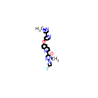 Cn1cc(-c2cc(Oc3ccc4nc(-c5cnc(N6CC[C@H](F)C6)n(C)c5=O)ccc4c3)ccn2)cn1